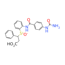 NC(=O)Nc1ccc(C(=O)Nc2ccccc2[S+]([O-])C(CC(=O)O)c2ccccc2)cc1